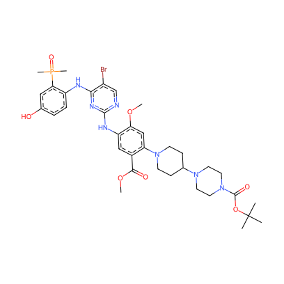 COC(=O)c1cc(Nc2ncc(Br)c(Nc3ccc(O)cc3P(C)(C)=O)n2)c(OC)cc1N1CCC(N2CCN(C(=O)OC(C)(C)C)CC2)CC1